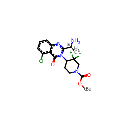 C[C@H](N)c1nc2cccc(Cl)c2c(=O)n1C1CCN(C(=O)OC(C)(C)C)CC1(F)F